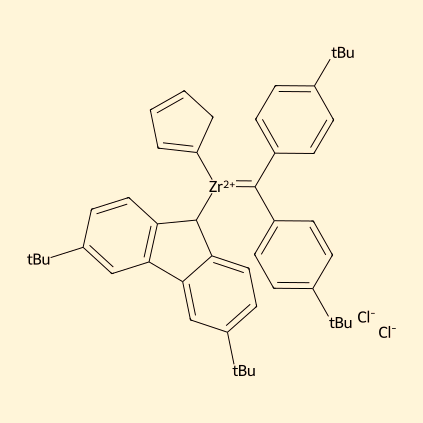 CC(C)(C)c1ccc([C](c2ccc(C(C)(C)C)cc2)=[Zr+2]([C]2=CC=CC2)[CH]2c3ccc(C(C)(C)C)cc3-c3cc(C(C)(C)C)ccc32)cc1.[Cl-].[Cl-]